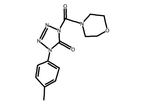 Cc1ccc(-n2nnn(C(=O)N3CCOCC3)c2=O)cc1